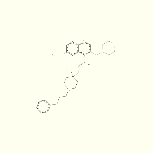 COc1ccc2ncc(CN3CCOCC3)c([C@@H](F)CCC3(C(=O)O)CCN(CCCc4ccccc4)CC3)c2c1